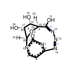 O=c1nc2ccn1[C@@H]1O[C@H](/C(O)=N\N=N/2)[C@@H](O)[C@H]1O